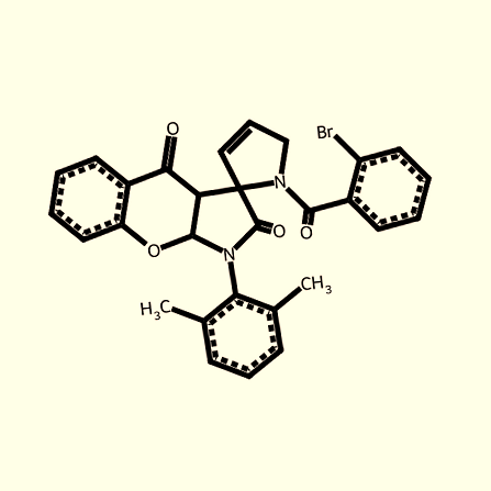 Cc1cccc(C)c1N1C(=O)C2(C=CCN2C(=O)c2ccccc2Br)C2C(=O)c3ccccc3OC21